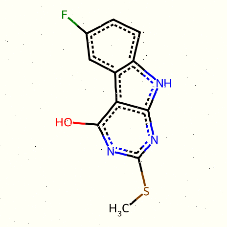 CSc1nc(O)c2c(n1)[nH]c1[c]cc(F)cc12